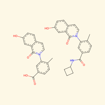 Cc1ccc(C(=O)NC2CCC2)cc1-n1ccc2ccc(O)cc2c1=O.Cc1ccc(C(=O)O)cc1-n1ccc2ccc(O)cc2c1=O